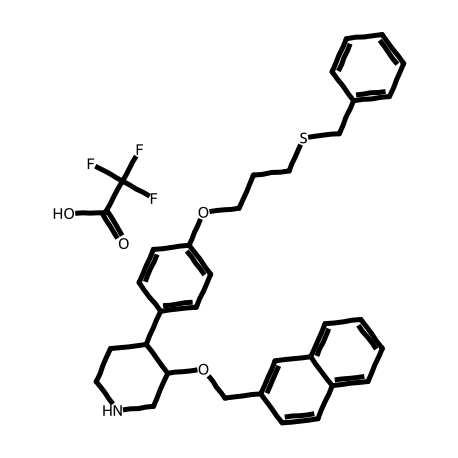 O=C(O)C(F)(F)F.c1ccc(CSCCCOc2ccc(C3CCNCC3OCc3ccc4ccccc4c3)cc2)cc1